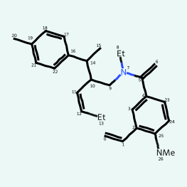 C=Cc1cc(C(=C)N(CC)CC(/C=C\CC)C(C)c2ccc(C)cc2)ccc1NC